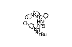 CC(C)(C)c1cc(NC(=O)NCc2ccccc2Oc2ccnc(N3CCOCC3)n2)n(-c2ccc(Cl)cc2)n1